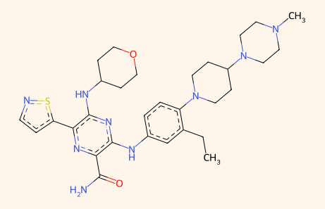 CCc1cc(Nc2nc(NC3CCOCC3)c(-c3ccns3)nc2C(N)=O)ccc1N1CCC(N2CCN(C)CC2)CC1